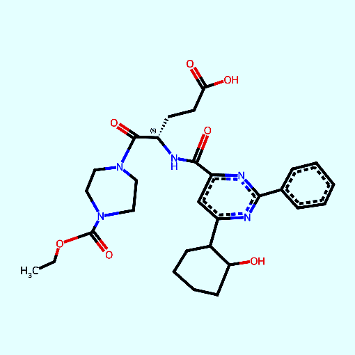 CCOC(=O)N1CCN(C(=O)[C@H](CCC(=O)O)NC(=O)c2cc(C3CCCCC3O)nc(-c3ccccc3)n2)CC1